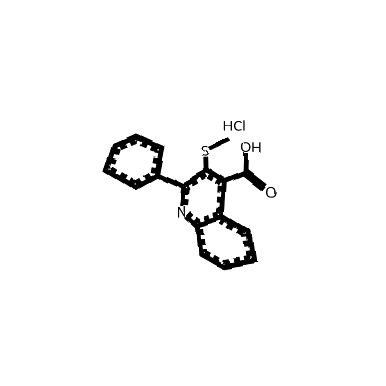 CSc1c(-c2ccccc2)nc2ccccc2c1C(=O)O.Cl